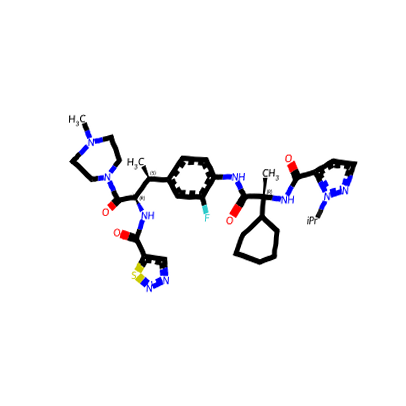 CC(C)n1nccc1C(=O)N[C@@](C)(C(=O)Nc1ccc([C@H](C)[C@@H](NC(=O)c2cnns2)C(=O)N2CCN(C)CC2)cc1F)C1CCCCC1